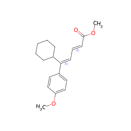 COC(=O)/C=C/C=C(/c1ccc(OC)cc1)C1CCCCC1